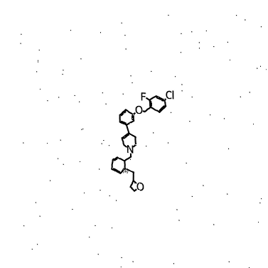 Fc1cc(Cl)ccc1COc1cccc(C2=CCN(CC3C=CC=C[C@@H]3CC3CCO3)CC2)c1